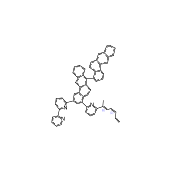 C=C/C=C\C=C(/C)c1cccc(-c2cc(-c3cccc(-c4ccccn4)n3)cc3c2ccc2c(-c4cccc5c4ccc4cc6ccccc6cc45)c4ccccc4cc23)n1